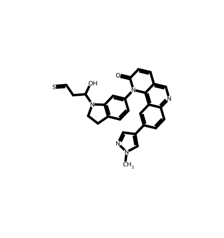 Cn1cc(-c2ccc3ncc4ccc(=O)n(-c5ccc6c(c5)N(C(O)CC=S)CC6)c4c3c2)cn1